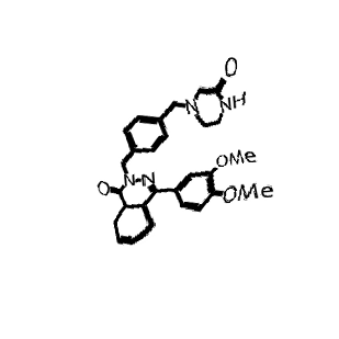 COc1ccc(C2=NN(Cc3ccc(CN4CCNC(=O)C4)cc3)C(=O)C3CC=CCC23)cc1OC